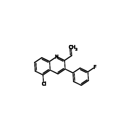 C=Cc1nc2cccc(Cl)c2cc1-c1cccc(F)c1